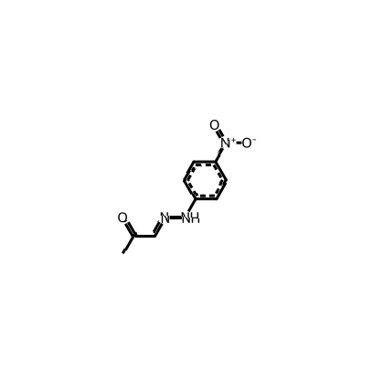 CC(=O)C=NNc1ccc([N+](=O)[O-])cc1